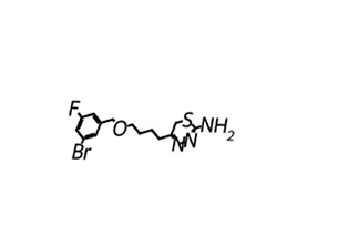 NC1=NN=C(CCCCOCc2cc(F)cc(Br)c2)CS1